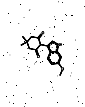 COc1ccc2c(C3C(=O)CC(C)(C)CC3=O)c[nH]c2c1